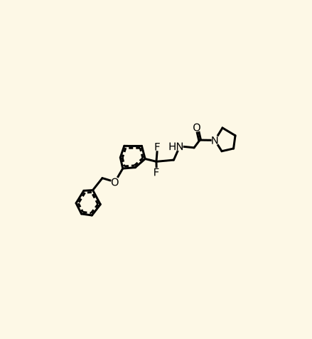 O=C(CNCC(F)(F)c1cccc(OCc2ccccc2)c1)N1CCCC1